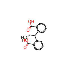 CCC(c1ccccc1C(=O)O)c1ccccc1C(=O)O